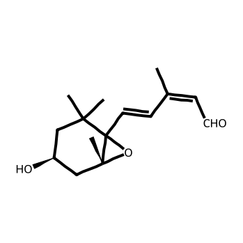 CC(=C/C=O)/C=C/C12O[C@]1(C)C[C@@H](O)CC2(C)C